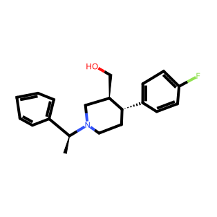 C[C@@H](c1ccccc1)N1CC[C@@H](c2ccc(F)cc2)[C@H](CO)C1